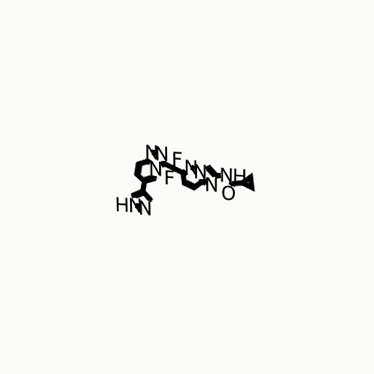 O=C(Nc1cn2nc(C(F)(F)c3nnc4ccc(-c5cn[nH]c5)cn34)ccc2n1)C1CC1